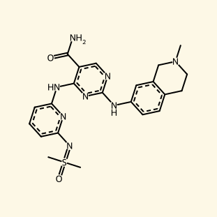 CN1CCc2ccc(Nc3ncc(C(N)=O)c(Nc4cccc(N=S(C)(C)=O)n4)n3)cc2C1